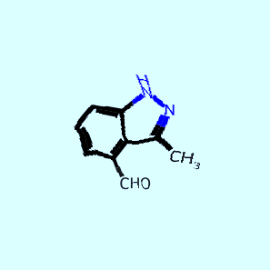 Cc1n[nH]c2cccc(C=O)c12